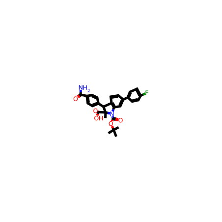 CC(C)(C)OC(=O)N1c2cc(-c3ccc(F)cc3)ccc2C(c2ccc(C(N)=O)cc2)C1(C)C(=O)O